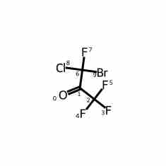 O=C(C(F)(F)F)C(F)(Cl)Br